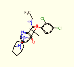 CC(C)(Oc1ccc(Cl)cc1Cl)C(=O)NC1CC2CCC(C1)N2c1ccc(C(=O)NCC(F)(F)F)nc1